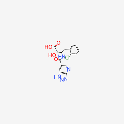 O=C(NC(Cc1ccccc1Cl)C(O)C(=O)O)c1cnc2nn[nH]c2c1